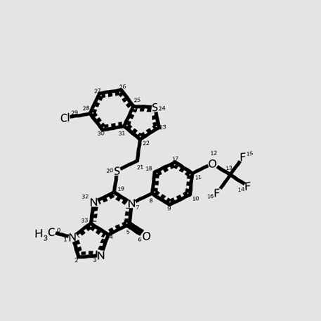 Cn1cnc2c(=O)n(-c3ccc(OC(F)(F)F)cc3)c(SCc3csc4ccc(Cl)cc34)nc21